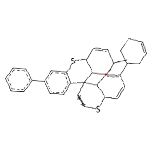 CC1C=CC2Sc3cc(-c4ccccc4)ccc3C3(C4=CCCC=C4SC4C=CC(C5CC=CCC5)=CC43)C2C1